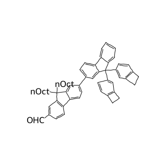 CCCCCCCCC1(CCCCCCCC)c2cc(C=O)ccc2-c2ccc(-c3ccc4c(c3)C(c3ccc5c(c3)CC5)(c3ccc5c(c3)CC5)c3ccccc3-4)cc21